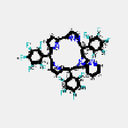 Fc1c(F)c(F)c(C2=C3C=CC(=N3)c3ccc([nH]3)C(c3c(F)c(F)c(F)c(F)c3F)=C3C=CC(C(c4c(F)c(F)c(F)c(F)c4F)=C4C=CC2=N4)N3c2ccccn2)c(F)c1F